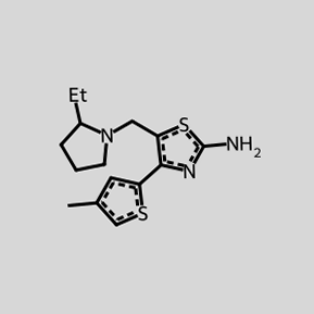 CCC1CCCN1Cc1sc(N)nc1-c1cc(C)cs1